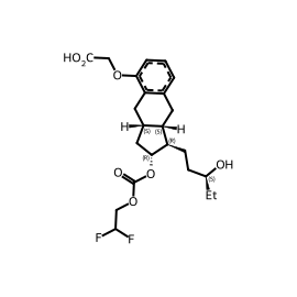 CC[C@H](O)CC[C@@H]1[C@H]2Cc3cccc(OCC(=O)O)c3C[C@H]2C[C@H]1OC(=O)OCC(F)F